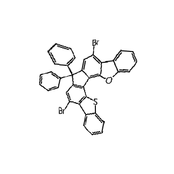 Brc1cc2c(c3oc4ccccc4c13)-c1c(cc(Br)c3c1sc1ccccc13)C2(c1ccccc1)c1ccccc1